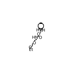 CCOCCOCCNC(=O)OC[C@@H]1[C@@H]2CCC#CCC[C@@H]21